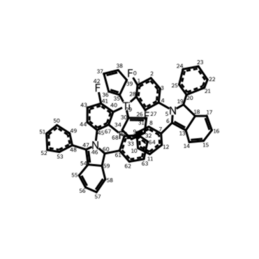 Fc1ccc(N2C(c3ccccc3)=C3C=CC=CC3C2c2ccccc2)c(F)[c]1[Ti]([C]1=CC=CC1)([C]1=CC=CC1)[c]1c(F)ccc(N2C(c3ccccc3)=C3C=CC=CC3C2c2ccccc2)c1F